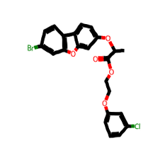 CC(Oc1ccc2c(c1)oc1cc(Br)ccc12)C(=O)OCCOc1cccc(Cl)c1